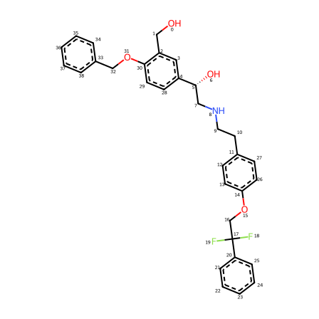 OCc1cc([C@H](O)CNCCc2ccc(OCC(F)(F)c3ccccc3)cc2)ccc1OCc1ccccc1